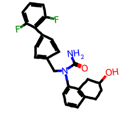 NC(=O)N(Cc1ccc(-c2c(F)cccc2F)cc1)c1cccc2c1CC(O)CC2